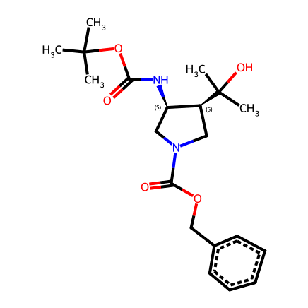 CC(C)(C)OC(=O)N[C@@H]1CN(C(=O)OCc2ccccc2)C[C@@H]1C(C)(C)O